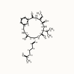 C/C=C1\NC(=O)c2cccc(n2)CNC(=O)C[C@@H](/C=C/CCSC(C)=O)OC(=O)[C@H](C(C)C)NC1=O